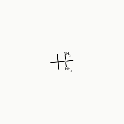 CC(C)(C)S(C)(N)N